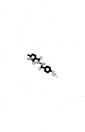 Cc1ccc(C(=O)NNC(=O)c2ccc(OC(F)(F)F)cc2)c(=O)[nH]1